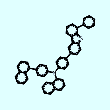 c1ccc(-c2cccc3c2sc2ccc(-c4ccc(N(c5ccc(-c6cccc7ccccc67)cc5)c5cccc6ccccc56)cc4)cc23)cc1